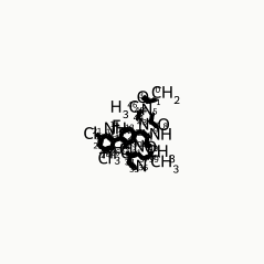 C=CC(=O)N1CC2C(=O)Nc3c(c4cc(F)c(-c5c(N)c(Cl)cc(Cl)c5F)c(Cl)c4n(-c4c(C)ccnc4C(C)C)c3=O)N2CC1C